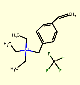 C=Cc1ccc(C[N+](CC)(CC)CC)cc1.F[B-](F)(F)F